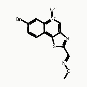 CON=Cc1nc2c[n+]([O-])c3cc(Br)ccc3c2s1